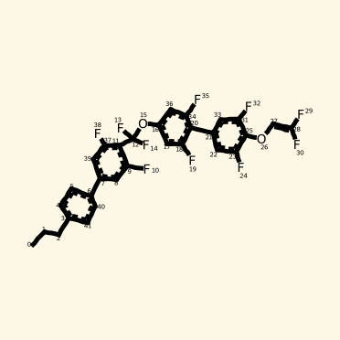 CCCc1ccc(-c2cc(F)c(C(F)(F)Oc3cc(F)c(-c4cc(F)c(OC=C(F)F)c(F)c4)c(F)c3)c(F)c2)cc1